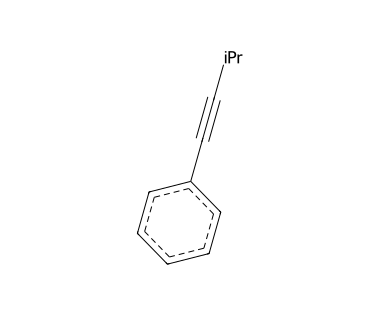 CC(C)C#Cc1ccccc1